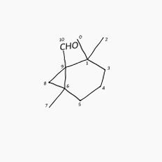 CC1(C)CCCC2(C)CC12C=O